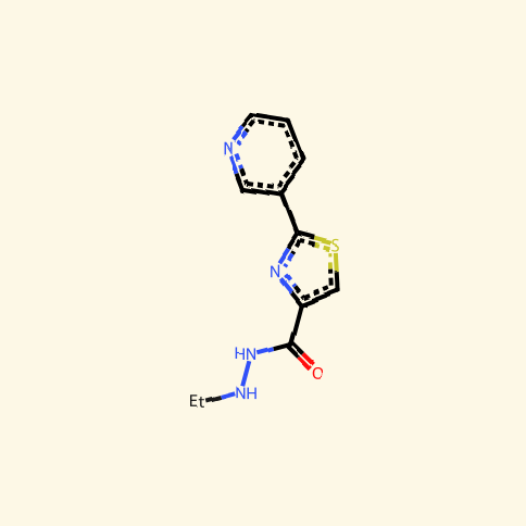 CCNNC(=O)c1csc(-c2cccnc2)n1